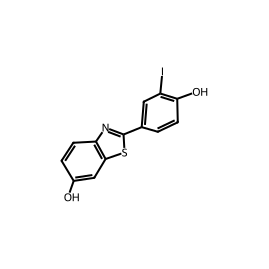 Oc1ccc2nc(-c3ccc(O)c(I)c3)sc2c1